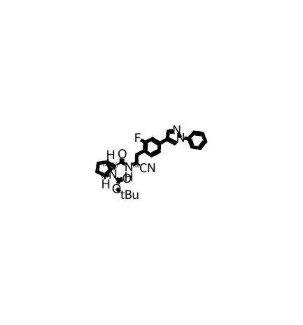 CC(C)(C)OC(=O)N1[C@@H]2CC[C@@H](C2)[C@H]1C(=O)N[C@H](C#N)Cc1ccc(-c2cnn(-c3ccccc3)c2)cc1F